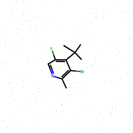 Cc1ncc(F)c(C(C)(C)C)c1Br